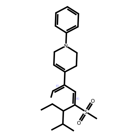 C/C=C(\C=C(/C(CC)C(C)C)S(C)(=O)=O)C1=CCN(c2ccccc2)CC1